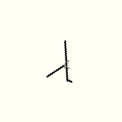 CCCCCCCCCCCCCCCCCC(=O)OCC(COC(=O)CCCCCCCCCC(C)CCCC)OC(=O)CCCCCCCCCCCCCCCCC